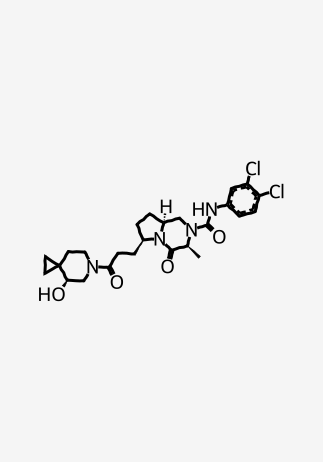 C[C@H]1C(=O)N2[C@@H](CCC(=O)N3CCC4(CC4)[C@H](O)C3)CC[C@H]2CN1C(=O)Nc1ccc(Cl)c(Cl)c1